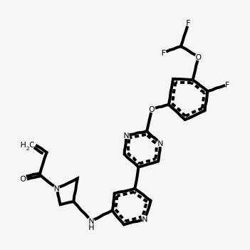 C=CC(=O)N1CC(Nc2cncc(-c3cnc(Oc4ccc(F)c(OC(F)F)c4)nc3)c2)C1